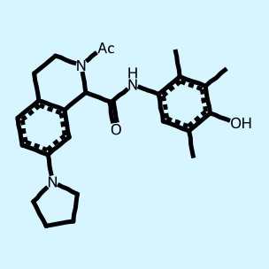 CC(=O)N1CCc2ccc(N3CCCC3)cc2C1C(=O)Nc1cc(C)c(O)c(C)c1C